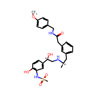 C[C@H](Cc1cccc(CC(=O)NCc2ccc(OC(F)(F)F)cc2)c1)NC[C@H](O)c1ccc(O)c(NS(C)(=O)=O)c1